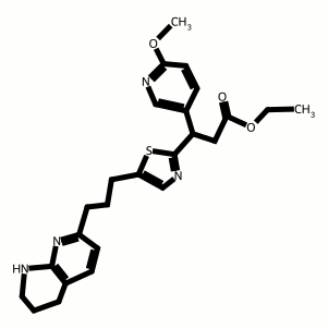 CCOC(=O)CC(c1ccc(OC)nc1)c1ncc(CCCc2ccc3c(n2)NCCC3)s1